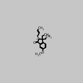 CC=CC[C@@H]1C(=O)c2cc(OC)ccc2C1(CC)CC